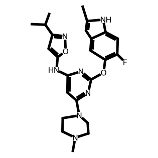 Cc1cc2cc(Oc3nc(Nc4cc(C(C)C)no4)cc(N4CCN(C)CC4)n3)c(F)cc2[nH]1